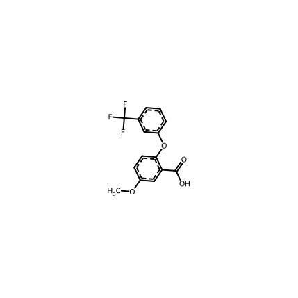 COc1ccc(Oc2cccc(C(F)(F)F)c2)c(C(=O)O)c1